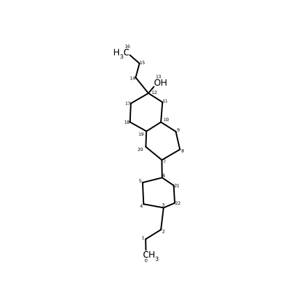 CCCC1CCC(C2CCC3CC(O)(CCC)CCC3C2)CC1